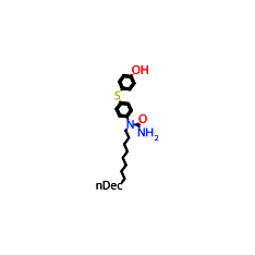 CCCCCCCCCCCCCCCCCCN(C(N)=O)c1ccc(Sc2ccc(O)cc2)cc1